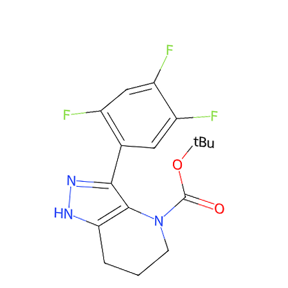 CC(C)(C)OC(=O)N1CCCc2[nH]nc(-c3cc(F)c(F)cc3F)c21